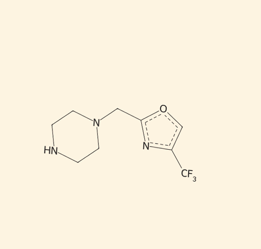 FC(F)(F)c1coc(CN2CCNCC2)n1